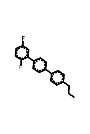 CCCc1ccc(-c2ccc(-c3cc(F)ccc3F)cc2)cc1